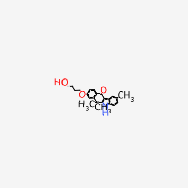 Cc1ccc2[nH]c3c(c2c1)C(=O)c1ccc(OCCCCO)cc1C3(C)C